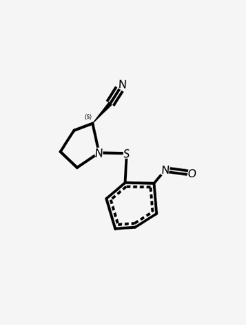 N#C[C@@H]1CCCN1Sc1ccccc1N=O